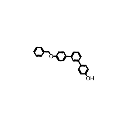 Oc1ccc(-c2cccc(-c3ccc(OCc4ccccc4)cc3)c2)cc1